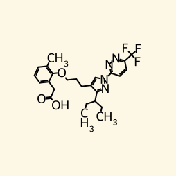 CCC(CC)c1nn(-c2ccc(C(F)(F)F)nn2)cc1CCCOc1c(C)cccc1CC(=O)O